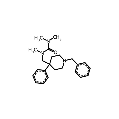 CN(C)C(=O)N(C)CC1(c2ccccc2)CCN(Cc2ccccc2)CC1